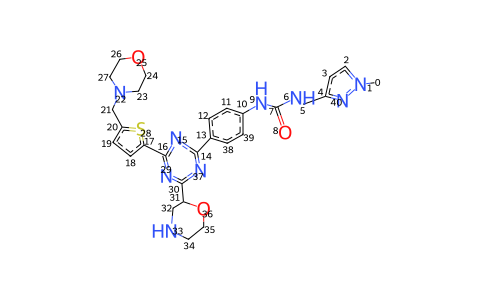 Cn1ccc(CNC(=O)Nc2ccc(-c3nc(-c4ccc(CN5CCOCC5)s4)nc(C4CNCCO4)n3)cc2)n1